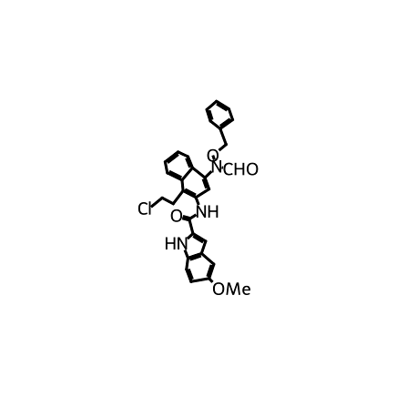 COc1ccc2[nH]c(C(=O)Nc3cc(N(C=O)OCc4ccccc4)c4ccccc4c3CCCl)cc2c1